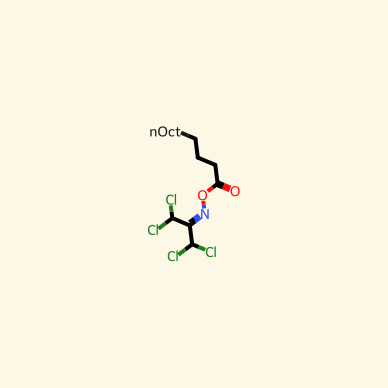 CCCCCCCCCCCC(=O)ON=C(C(Cl)Cl)C(Cl)Cl